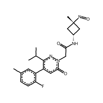 Cc1ccc(F)c(-c2cc(=O)n(CC(=O)N[C@H]3C[C@@](C)(N=O)C3)nc2C(C)C)c1